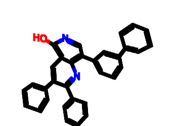 Oc1ncc(-c2cccc(-c3ccccc3)c2)c2nc(-c3cc[c]cc3)c(-c3ccccc3)cc12